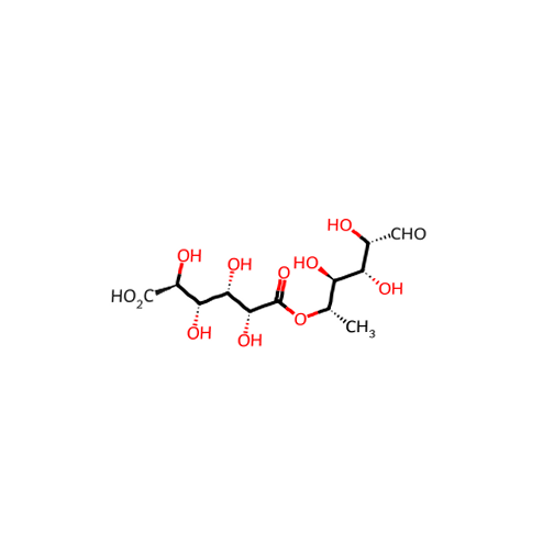 C[C@H](OC(=O)[C@H](O)[C@@H](O)[C@H](O)[C@H](O)C(=O)O)[C@@H](O)[C@@H](O)[C@H](O)C=O